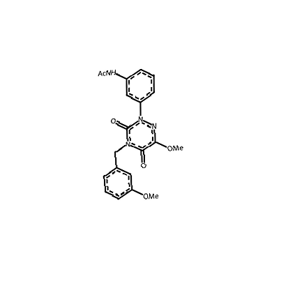 COc1cccc(Cn2c(=O)c(OC)nn(-c3cccc(NC(C)=O)c3)c2=O)c1